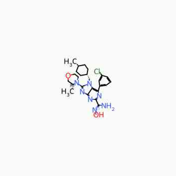 C[C@@H]1COCCN1c1nc2nc(/C(N)=N/O)nc(-c3cccc(Cl)c3)c2n1C[C@H]1CC[C@H](C)CC1